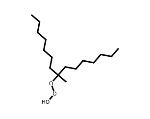 CCCCCCCC(C)(CCCCCCC)OOO